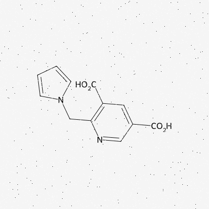 O=C(O)c1cnc(Cn2cccc2)c(C(=O)O)c1